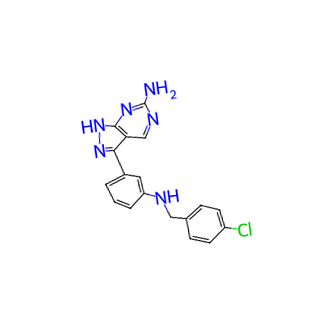 Nc1ncc2c(-c3cccc(NCc4ccc(Cl)cc4)c3)n[nH]c2n1